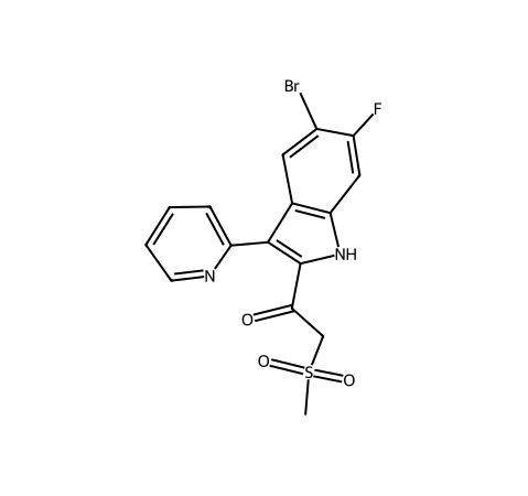 CS(=O)(=O)CC(=O)c1[nH]c2cc(F)c(Br)cc2c1-c1ccccn1